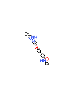 CCC1=CNC(N2CCC(COc3ccc(C4=CCC(C(=O)NC5CCCC5)CC4)cc3)CC2)N=C1